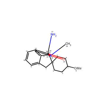 COC1CCC2(CC1)Cc1ccccc1C21N=C(N)N(C)C1=O